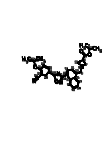 CC(C)OC(=O)C1CN(Cc2ccc(-c3noc(C4C=CC(OC(C)C)=C(C#N)C4)n3)c3ccccc23)C1